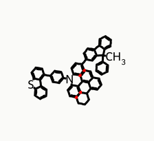 CC1(c2ccccc2)c2ccccc2-c2ccc(-c3ccc(N(c4ccc(-c5cccc6sc7ccccc7c56)cc4)c4ccccc4-c4cccc5cccc(C6CCCCC6)c45)cc3)cc21